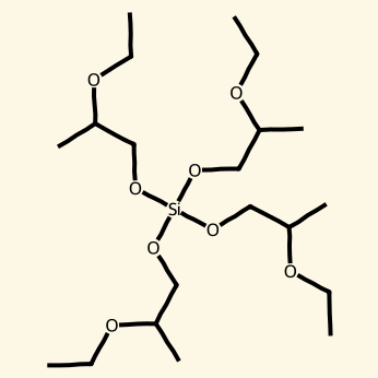 CCOC(C)CO[Si](OCC(C)OCC)(OCC(C)OCC)OCC(C)OCC